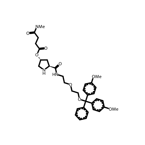 CNC(=O)CCC(=O)O[C@H]1CN[C@H](C(=O)NCCOCCOC(c2ccccc2)(c2ccc(OC)cc2)c2ccc(OC)cc2)C1